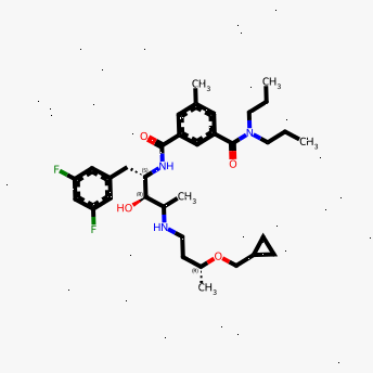 CCCN(CCC)C(=O)c1cc(C)cc(C(=O)N[C@@H](Cc2cc(F)cc(F)c2)[C@H](O)C(C)NCC[C@@H](C)OCC2CC2)c1